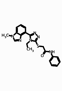 CCn1c(SCC(=O)Nc2ccccc2)nnc1-c1cccc2c1ncn2C